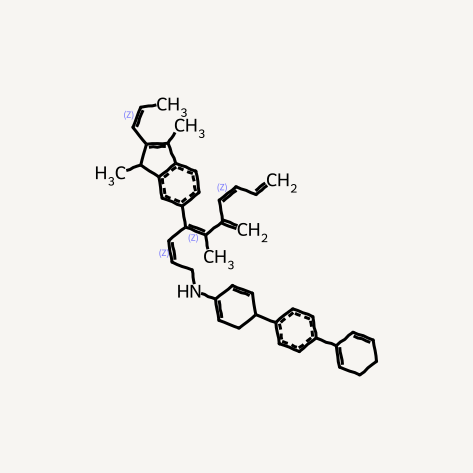 C=C/C=C\C(=C)/C(C)=C(/C=C\CNC1=CCC(c2ccc(C3=CCCC=C3)cc2)C=C1)c1ccc2c(c1)C(C)C(/C=C\C)=C2C